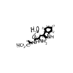 C[C@H](NC(=O)[C@@H](N)Cc1c[nH]c2ccccc12)C(=O)O.O